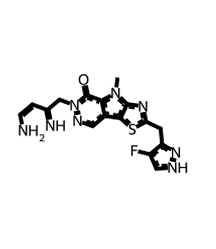 Cn1c2nc(Cc3n[nH]cc3F)sc2c2cnn(CC(=N)/C=C\N)c(=O)c21